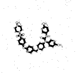 Cc1ccc(NC(=O)N(c2ccc(C)nc2)C2CCN(Cc3ccc(Oc4ccc(S(=O)(=O)N5CCN(C)CC5)cc4)nc3)CC2)cn1